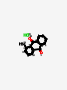 Cl.O=C1c2ccccc2C(=O)c2[c]([BaH])cccc21